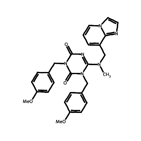 COc1ccc(Cn2c(N(C)Cc3cccn4ccnc34)nc(=O)n(Cc3ccc(OC)cc3)c2=O)cc1